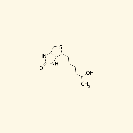 C=C(O)CCCCC1SCC2NC(=O)NC21